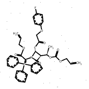 C=CCOC(=O)O[C@H](C)[C@H]1C(=O)N(C(C(=O)OCC=C)=P(c2ccccc2)(c2ccccc2)c2ccccc2)[C@@H]1SC(=O)COc1ccc(F)cc1